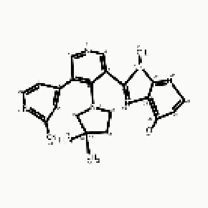 Cn1c(-c2cncc(-c3ccnc(C#N)c3)c2N2CC[C@](C)(N)C2)nc2c(Cl)ccnc21